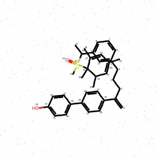 C=C(CCCc1cccc(C(C)[SH](C)(=O)C2(C)C(C)=CC(C)=CC2C)c1)c1ccc(-c2ccc(O)cc2)cc1